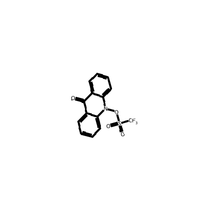 O=c1c2ccccc2n(OS(=O)(=O)C(F)(F)F)c2ccccc12